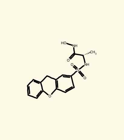 C[C@H](NS(=O)(=O)c1ccc2c(c1)Cc1ccccc1O2)C(=O)NO